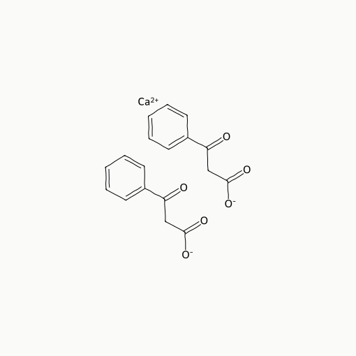 O=C([O-])CC(=O)c1ccccc1.O=C([O-])CC(=O)c1ccccc1.[Ca+2]